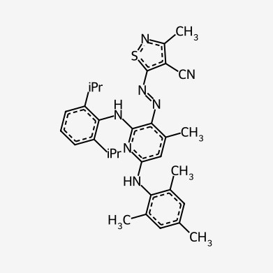 Cc1cc(C)c(Nc2cc(C)c(N=Nc3snc(C)c3C#N)c(Nc3c(C(C)C)cccc3C(C)C)n2)c(C)c1